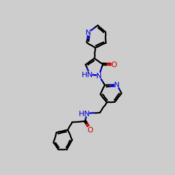 O=C(Cc1ccccc1)NCc1ccnc(-n2[nH]cc(-c3cccnc3)c2=O)c1